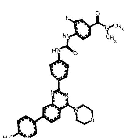 Cc1ccc(-c2ccc3c(N4CCOCC4)nc(-c4ccc(NC(=O)Nc5ccc(C(=O)N(C)C)cc5F)cc4)nc3c2)cn1